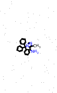 Cc1ncn(C(c2ccccc2)(c2ccccc2)c2ccccc2)c1CN